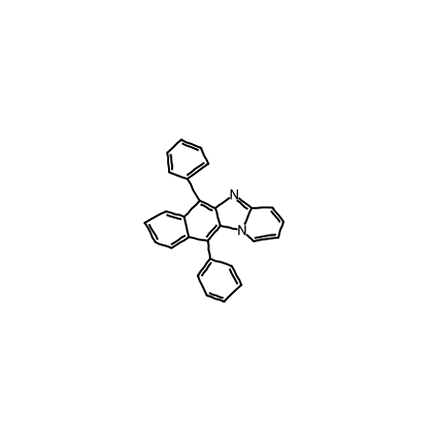 c1ccc(-c2c3ccccc3c(-c3ccccc3)c3c2nc2ccccn23)cc1